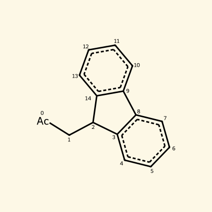 CC(=O)CC1c2ccccc2-c2ccccc21